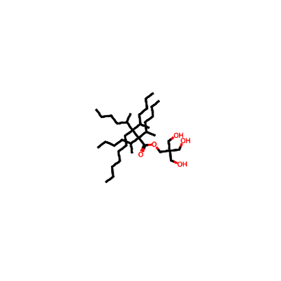 CCCCCCCC(C(C)CCCC)(C(C)CCCC)C(C(=O)OCC(CO)(CO)CO)(C(C)CCCC)C(C)CCCC